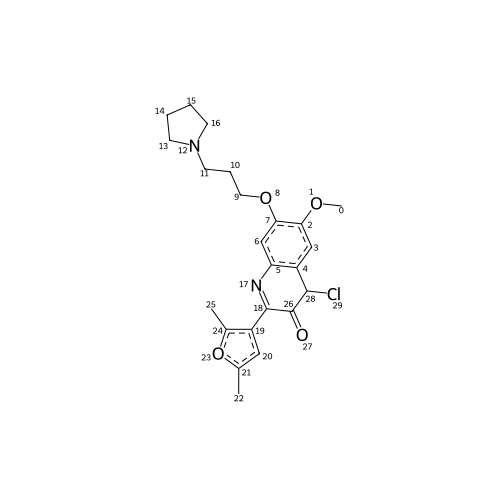 COc1cc2c(cc1OCCCN1CCCC1)N=C(c1cc(C)oc1C)C(=O)C2Cl